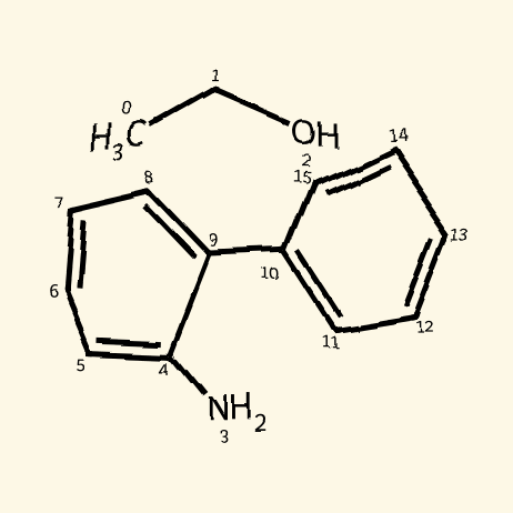 CCO.Nc1ccccc1-c1ccccc1